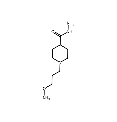 COCCCN1CCC(C(=O)NN)CC1